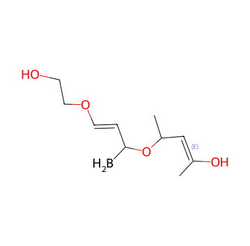 BC(C=COCCO)OC(C)/C=C(\C)O